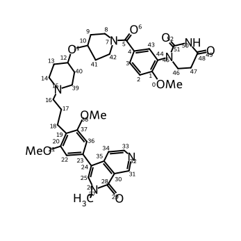 COc1ccc(C(=O)N2CCC(OC3CCN(CCCc4c(OC)cc(-c5cn(C)c(=O)c6cnccc56)cc4OC)CC3)CC2)cc1N1CCC(=O)NC1=O